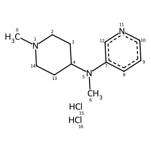 CN1CCC(N(C)c2cccnc2)CC1.Cl.Cl